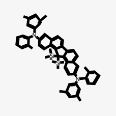 Cc1cc(C)cc(N(c2ccc3c4c(ccc3c2)-c2ccc3cc(N(c5cc(C)cc(C)c5)c5ccccc5C)ccc3c2C4([Si](C)(C)C)[Si](C)(C)C)c2ccccc2C)c1